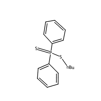 CCCCSP(=S)(c1ccccc1)c1ccccc1